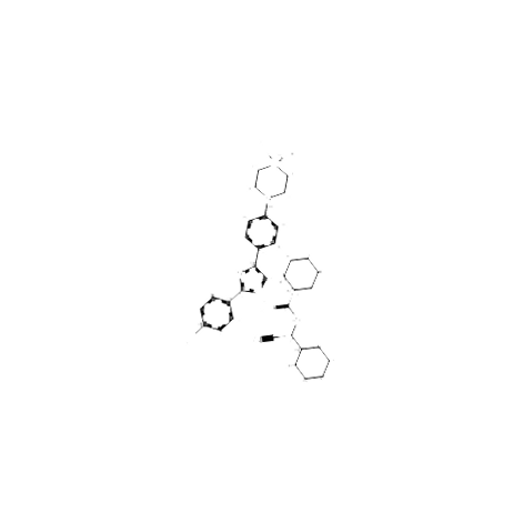 N#C[C@@H](NC(=O)[C@@H]1CCCC[C@H]1c1oc(-c2ccc(F)cc2)nc1-c1ccc(N2CCS(O)(O)CC2)cc1)C1CCCCC1